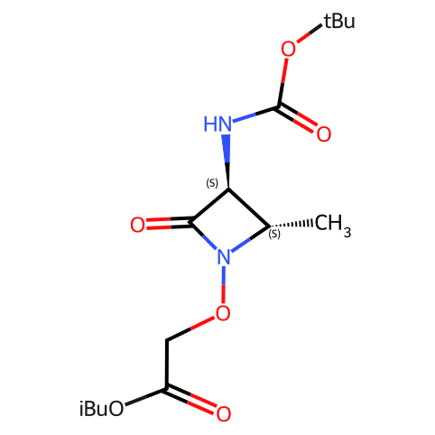 CC(C)COC(=O)CON1C(=O)[C@@H](NC(=O)OC(C)(C)C)[C@@H]1C